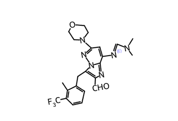 Cc1c(Cc2c(C=O)nc3c(/N=C/N(C)C)cc(N4CCOCC4)nn23)cccc1C(F)(F)F